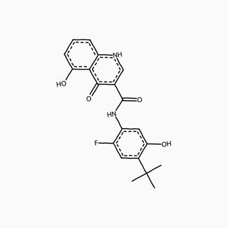 CC(C)(C)c1cc(F)c(NC(=O)c2c[nH]c3cccc(O)c3c2=O)cc1O